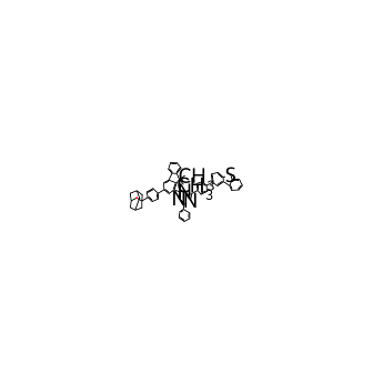 CC1(C)c2ccccc2-c2cc(-c3ccc(C45CC6CC(CC(C6)C4)C5)cc3)cc(-c3nc(-c4ccccc4)nc(-c4ccc(-c5ccc6sc7ccccc7c6c5)cc4)n3)c21